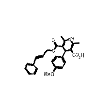 COc1ccc(C2C(C(=O)O)=C(C)NC(C)=C2C(=O)OCC=Cc2ccccc2)cc1